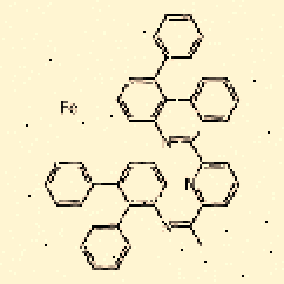 CC(=Nc1cccc(-c2ccccc2)c1-c1ccccc1)c1cccc(C(C)=Nc2cccc(-c3ccccc3)c2-c2ccccc2)n1.[Fe]